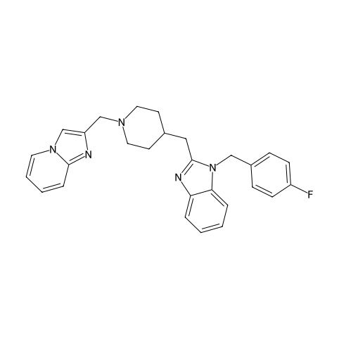 Fc1ccc(Cn2c(CC3CCN(Cc4cn5ccccc5n4)CC3)nc3ccccc32)cc1